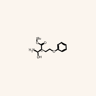 CC(C)(C)OC(=O)[C@@H](CCOc1ccccc1)C(N)O